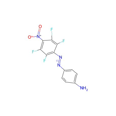 Nc1ccc(/N=N/c2c(F)c(F)c([N+](=O)[O-])c(F)c2F)cc1